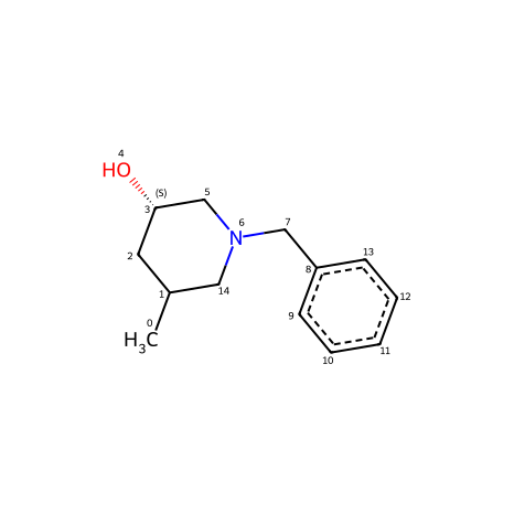 CC1C[C@H](O)CN(Cc2ccccc2)C1